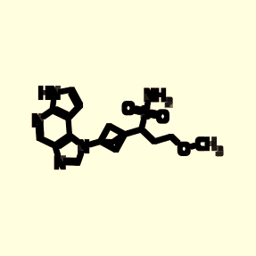 COCCC(C12CC(n3cnc4cnc5[nH]ccc5c43)(C1)C2)S(N)(=O)=O